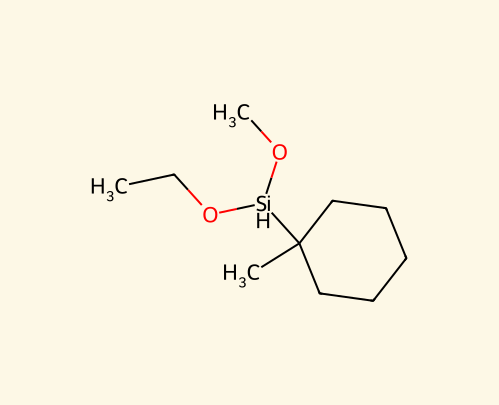 CCO[SiH](OC)C1(C)CCCCC1